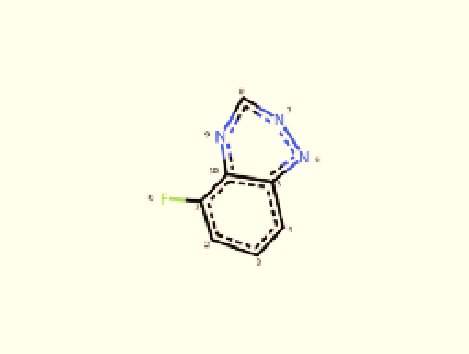 Fc1cccc2nncnc12